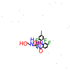 O=C(c1ccc(F)c(F)c1Nc1ccc(I)cc1F)N1CC(O)(CNCCO)C1